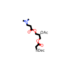 CCCCCCCCCCCC(=O)OC[C@H](COC(=O)CCN(C)C)OC(C)=O